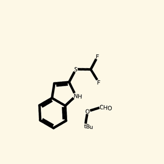 CC(C)(C)OC=O.FC(F)Sc1cc2ccccc2[nH]1